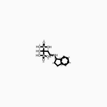 O=P(O)(O)C(O)(CCNC1CCc2ccccc21)P(=O)(O)O